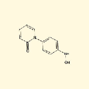 O=c1ccccn1-c1ccc(NO)cc1